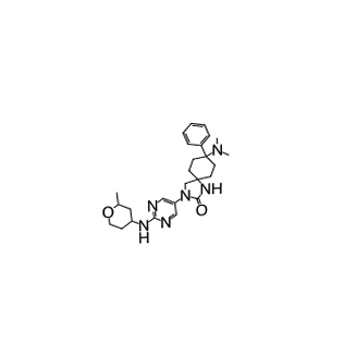 CC1CC(Nc2ncc(N3CC4(CCC(c5ccccc5)(N(C)C)CC4)NC3=O)cn2)CCO1